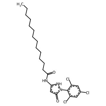 CCCCCCCCCCCCCC(=O)Nc1cc(=O)n(-c2c(Cl)cc(Cl)cc2Cl)[nH]1